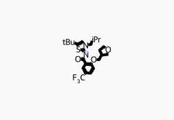 CC(C)Cn1cc(C(C)(C)C)s/c1=N\C(=O)c1cc(C(F)(F)F)ccc1OCC1CCOC1